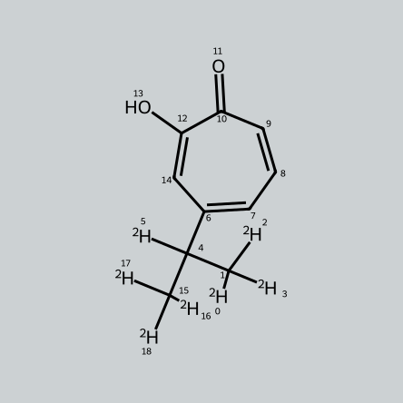 [2H]C([2H])([2H])C([2H])(c1cccc(=O)c(O)c1)C([2H])([2H])[2H]